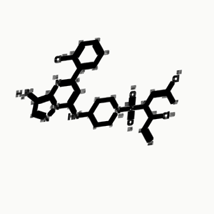 Bc1cnn2c(NC3CCN(S(=O)(=O)C(/C=C(\C)Cl)C(Cl)C=C)CC3)cc(-c3ccccc3Cl)nc12